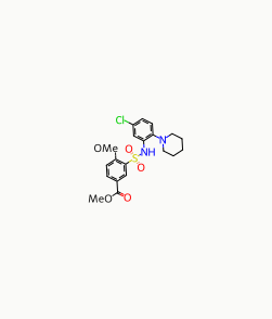 COC(=O)c1ccc(OC)c(S(=O)(=O)Nc2cc(Cl)ccc2N2CCCCC2)c1